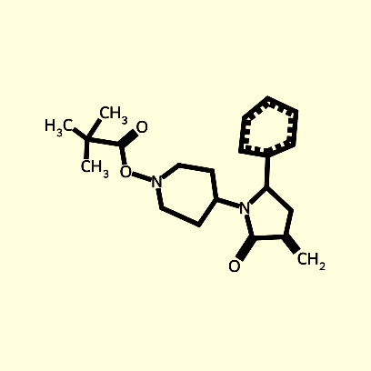 C=C1CC(c2ccccc2)N(C2CCN(OC(=O)C(C)(C)C)CC2)C1=O